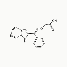 O=C(O)CON=C(c1ccccc1)c1cc2ccncc2[nH]1